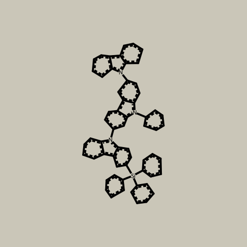 c1ccc(-n2c3ccc(-n4c5ccccc5c5ccccc54)cc3c3ccc(-n4c5ccccc5c5cc([Si](c6ccccc6)(c6ccccc6)c6ccccc6)ccc54)cc32)cc1